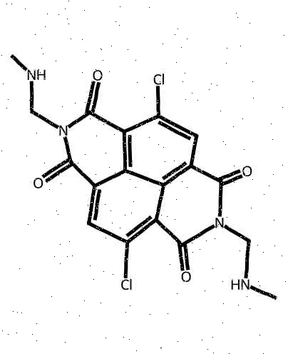 CNCN1C(=O)c2cc(Cl)c3c4c(cc(Cl)c(c24)C1=O)C(=O)N(CNC)C3=O